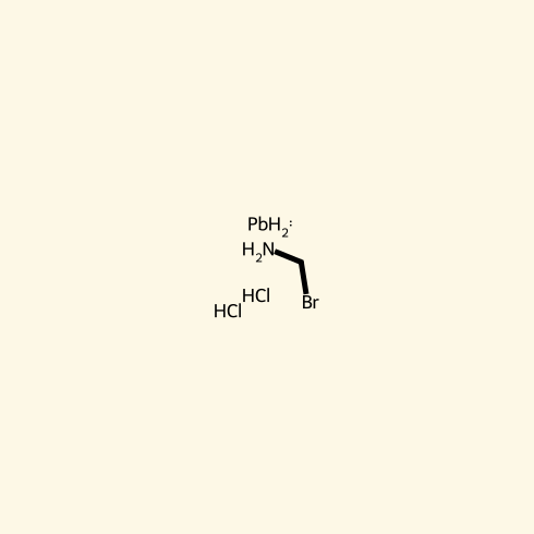 Cl.Cl.NCBr.[PbH2]